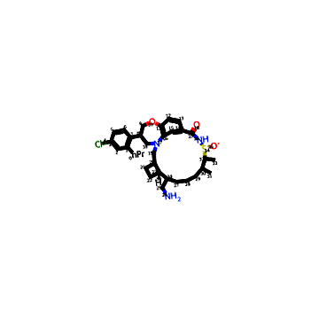 CCCc1cc(Cl)ccc1C1COc2ccc3cc2N(C1)CC1CC[C@H]1C(CN)CCCC(C)C(C)[S+]([O-])NC3=O